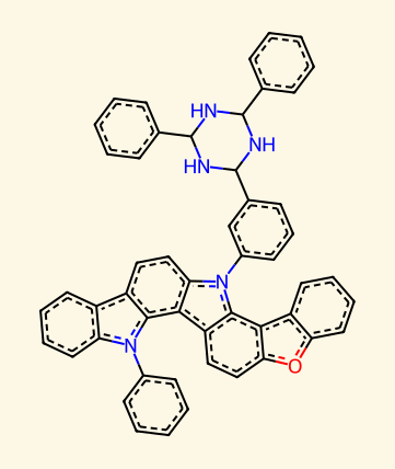 c1ccc(C2NC(c3ccccc3)NC(c3cccc(-n4c5ccc6c7ccccc7n(-c7ccccc7)c6c5c5ccc6oc7ccccc7c6c54)c3)N2)cc1